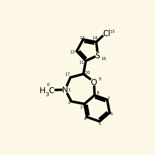 CN1Cc2ccccc2OC(c2ccc(Cl)s2)C1